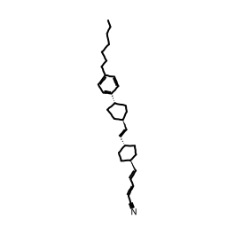 CCCCCCCc1ccc([C@H]2CC[C@H](C=C[C@H]3CC[C@H](C=CC=CC#N)CC3)CC2)cc1